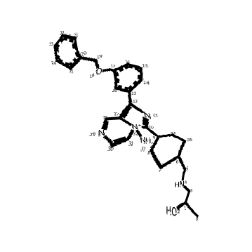 CC(O)CNCC1CCC(C2=NC(c3cccc(OCc4ccccc4)c3)=C3C=NC=C[N+]23N)CC1